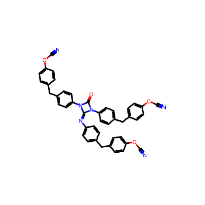 N#COc1ccc(Cc2ccc(N=C3N(c4ccc(Cc5ccc(OC#N)cc5)cc4)C(=O)N3c3ccc(Cc4ccc(OC#N)cc4)cc3)cc2)cc1